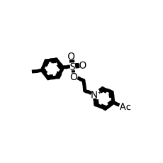 CC(=O)c1cc[n+](CCOS(=O)(=O)c2ccc(C)cc2)cc1